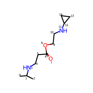 CC(C)NCCC(=O)OCCNC1CC1